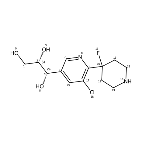 OC[C@H](O)[C@@H](O)c1cnc(C2(F)CCNCC2)c(Cl)c1